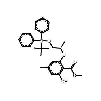 COC(=O)c1c(O)cc(C)cc1O[C@H](C)CO[Si](c1ccccc1)(c1ccccc1)C(C)(C)C